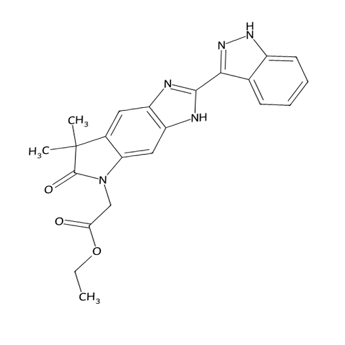 CCOC(=O)CN1C(=O)C(C)(C)c2cc3nc(-c4n[nH]c5ccccc45)[nH]c3cc21